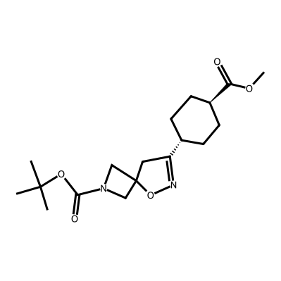 COC(=O)[C@H]1CC[C@H](C2=NOC3(C2)CN(C(=O)OC(C)(C)C)C3)CC1